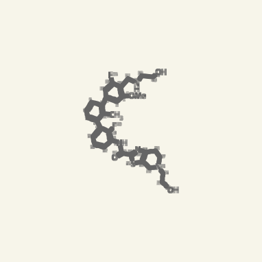 COc1cc(-c2cccc(-c3cccc(NC(=O)c4nc5c(s4)CN(CCO)CC5)c3F)c2C)cc(F)c1CNCCO